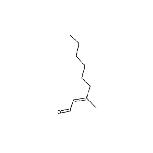 CCCCCCC(C)=CC=O